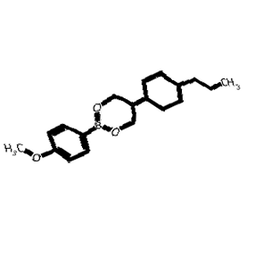 CCCC1CCC(C2COB(c3ccc(OC)cc3)OC2)CC1